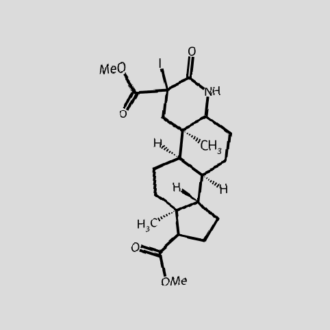 COC(=O)C1CC[C@H]2[C@@H]3CCC4NC(=O)C(I)(C(=O)OC)C[C@]4(C)[C@@H]3CC[C@]12C